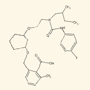 CCC(C)CN(CCOC1CCCC(OCc2cccc(C)c2C(=O)O)C1)C(=O)Nc1ccc(F)cc1